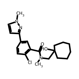 CN(CC1(O)CCCCCC1)C(=O)c1cc(-c2ccn(C)n2)ccc1Cl